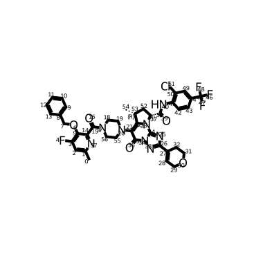 Cc1cc(F)c(OCc2ccccc2)c(C(=O)N2CCN(c3c4n(c5nc(C6=CCOCC6)nn5c3=O)[C@@H](C(=O)Nc3ccc(C(F)(F)F)cc3Cl)C[C@H]4C)CC2)n1